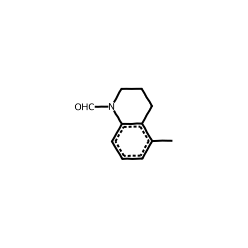 Cc1cccc2c1CCCN2C=O